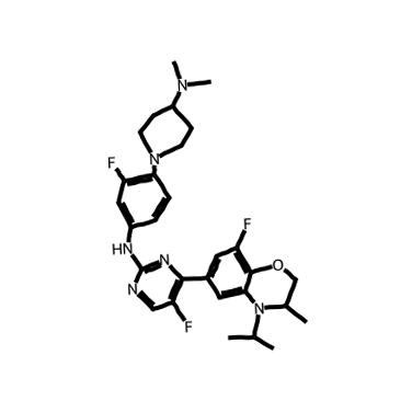 CC(C)N1c2cc(-c3nc(Nc4ccc(N5CCC(N(C)C)CC5)c(F)c4)ncc3F)cc(F)c2OCC1C